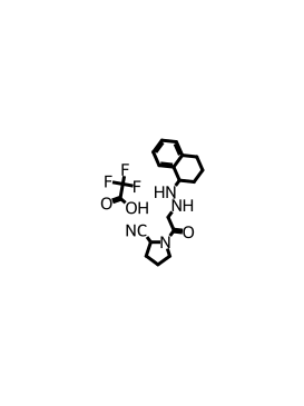 N#CC1CCCN1C(=O)CNNC1CCCc2ccccc21.O=C(O)C(F)(F)F